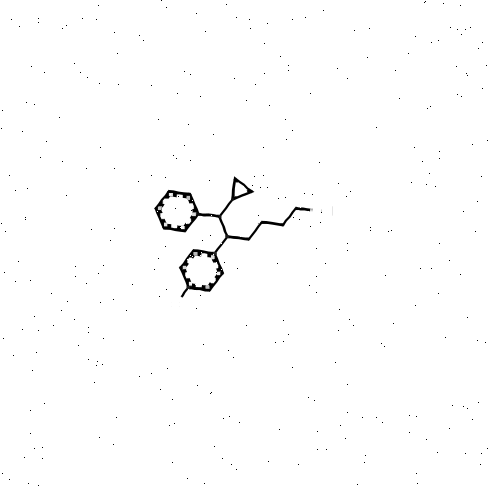 OCC[CH]CC(c1ccc(O)cc1)C(c1ccccc1)C1CC1